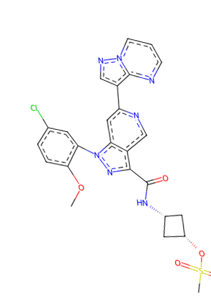 COc1ccc(Cl)cc1-n1nc(C(=O)N[C@H]2C[C@@H](OS(C)(=O)=O)C2)c2cnc(-c3cnn4cccnc34)cc21